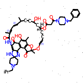 C/C1=C/C=C/C(C)CCC(O)C[C@H](OC(=O)CC(=O)N2CCN(Cc3ccccc3)CC2)CC/C=C/OC2(C)Oc3c(C)c(O)c4c(c3C2=O)C2=NC3(CCN(CC(C)C)CC3)NC2=C(NC1=O)C4=O